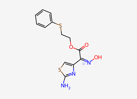 Nc1nc(/C(=N/O)C(=O)OCCSc2ccccc2)cs1